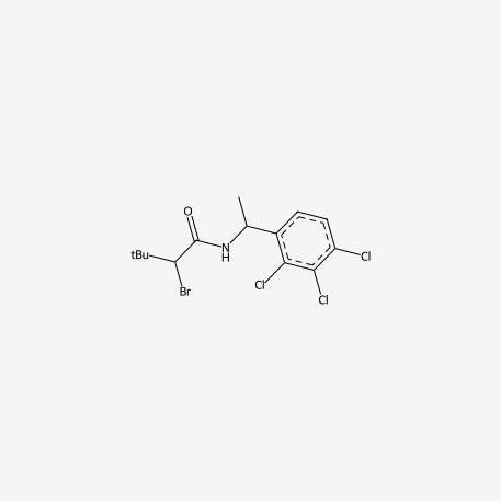 CC(NC(=O)C(Br)C(C)(C)C)c1ccc(Cl)c(Cl)c1Cl